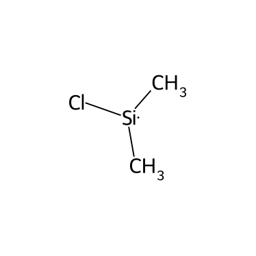 C[Si](C)Cl